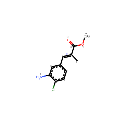 C/C(=C\c1ccc(Cl)c(N)c1)C(=O)OC(C)(C)C